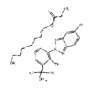 CC(C)(C)c1cccc(-n2nc3ccc(Cl)cc3n2)c1O.CCCCCCCCOC(=O)CC